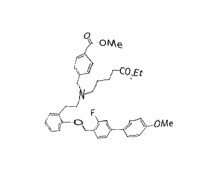 CCOC(=O)CCCCN(CCc1ccccc1OCc1ccc(-c2ccc(OC)cc2)cc1F)Cc1ccc(C(=O)OC)cc1